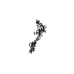 Cc1ncsc1-c1ccc(CNC(=O)[C@@H]2CCCN2CC(NC(=O)CNC(=O)CCCOc2ccc(-c3ccc(N4C(=S)N(c5ccc(C#N)c(C(F)(F)F)c5)C(=O)C4(C)C)c(F)c3)cc2)C(C)(C)C)cc1